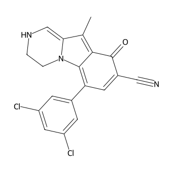 Cc1c2c(n3c1=CNCC3)=C(c1cc(Cl)cc(Cl)c1)C=C(C#N)C2=O